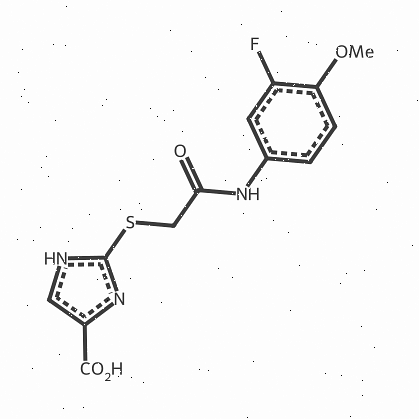 COc1ccc(NC(=O)CSc2nc(C(=O)O)c[nH]2)cc1F